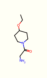 CCOC1CCN(C(=O)CN)CC1